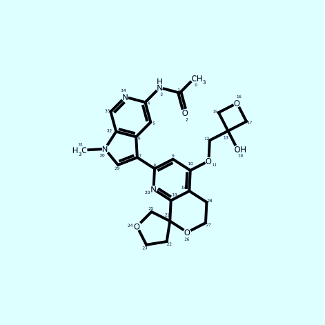 CC(=O)Nc1cc2c(-c3cc(OCC4(O)COC4)c4c(n3)C3(CCOC3)OCC4)cn(C)c2cn1